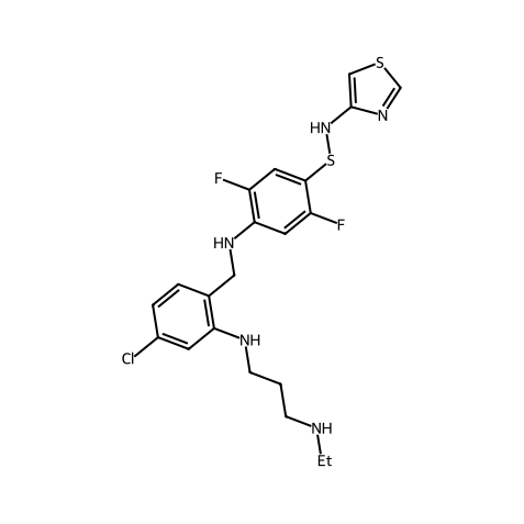 CCNCCCNc1cc(Cl)ccc1CNc1cc(F)c(SNc2cscn2)cc1F